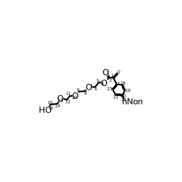 C=C(C(=O)OCCOCCOCCOCCO)c1ccc(CCCCCCCCC)cc1